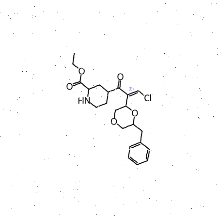 CCOC(=O)C1CC(C(=O)/C(=C/Cl)C2COCC(Cc3ccccc3)O2)CCN1